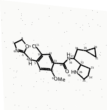 COc1cc(NC2=NCCO2)c(Cl)cc1C(=O)NC(CC1CC1)C1CCCN1